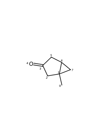 CC12CC(=O)CC1C2